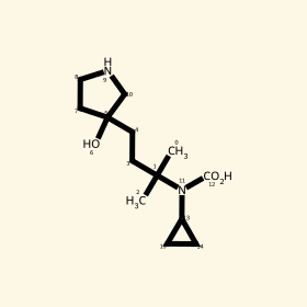 CC(C)(CCC1(O)CCNC1)N(C(=O)O)C1CC1